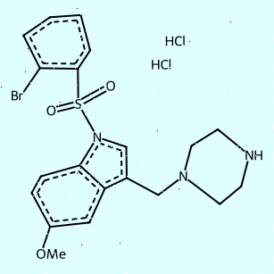 COc1ccc2c(c1)c(CN1CCNCC1)cn2S(=O)(=O)c1ccccc1Br.Cl.Cl